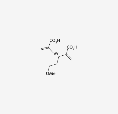 C=C(CCC)C(=O)O.C=C(CCCOC)C(=O)O